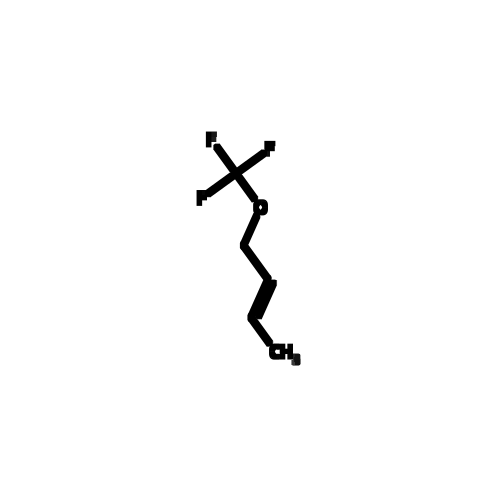 CC=CCOC(F)(F)F